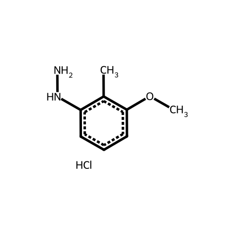 COc1cccc(NN)c1C.Cl